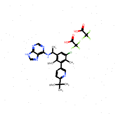 COc1c(C(C)Nc2ncnc3[nH]cnc23)cc(Cl)c(C)c1-c1ccc(C(C)(C)OC)nc1.O=C(O)C(F)(F)F.O=C(O)C(F)(F)F